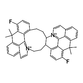 CC1(C)c2c(F)ccc3c2-c2c4c1cccc4cc[n+]2CCC1c2ccc(F)c4c2-c2c5c(cccc5cc[n+]2C1CC3)C4(C)C